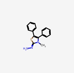 Cn1c(-c2ccccc2)c(-c2ccccc2)sc1=NN